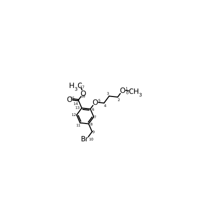 COCCCOc1cc(CBr)ccc1C(=O)OC